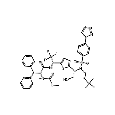 COC(=O)N[C@H](C(=O)N[C@H](c1ccc([C@@H](CO)N(CCC(C)(C)C)S(=O)(=O)c2ccc(-n3cnnn3)cc2)s1)C(F)(F)F)C(c1ccccc1)c1ccccc1